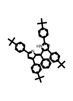 CC(C)(C)c1ccc(C2=CC(c3ccc(C(C)(C)C)cc3)=N/C2=C(/c2ccccc2)c2[nH]c(-c3ccc(C(C)(C)C)cc3)cc2-c2ccc(C(C)(C)C)cc2)cc1